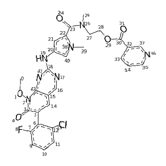 COn1c(=O)c(-c2c(F)cccc2Cl)cc2cnc(Nc3cc(C(=O)N(C)CCOC(=O)c4cccnc4)n(C)c3)nc21